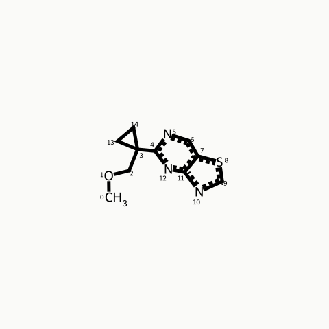 COCC1(c2ncc3s[c]nc3n2)CC1